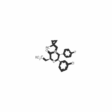 N#CC1(CN2C(=O)[C@H](CC(=O)O)O[C@@H](c3cccc(Cl)c3)[C@H]2c2ccc(Cl)cc2)CC1